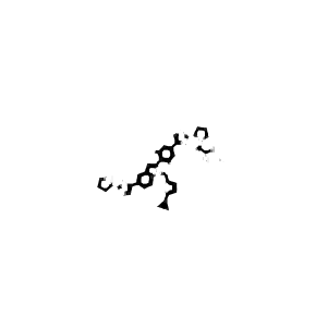 CC(=O)N[C@H](C(=O)N1CCC[C@H]1c1nc(-c2cc(F)c3c(c2)OC(c2ccc(C4CC4)s2)n2c-3cc3cc(-c4cnc([C@@H]5CCCN5)[nH]4)ccc32)c[nH]1)C(C)C